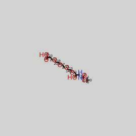 CC(C)(C)OC(=O)NCC(O)COCCOCCOCCOCCC(=O)O